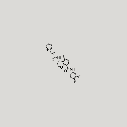 O=C(N[C@H]1CCOc2c(C(=O)Nc3ccc(F)c(Cl)c3)ccc(F)c21)OCc1ccccn1